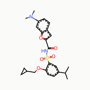 CC(C)c1ccc(OCC2CC2)c(S(=O)(=O)NC(=O)c2cc3ccc(N(C)C)cc3o2)c1